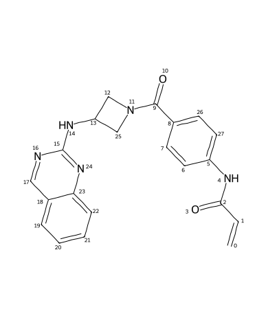 C=CC(=O)Nc1ccc(C(=O)N2CC(Nc3ncc4ccccc4n3)C2)cc1